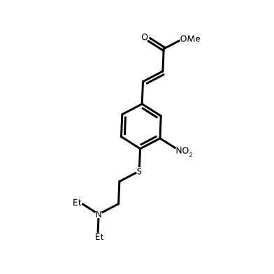 CCN(CC)CCSc1ccc(C=CC(=O)OC)cc1[N+](=O)[O-]